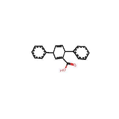 O=C(O)C1=CC(c2ccccc2)C=CC1c1ccccc1